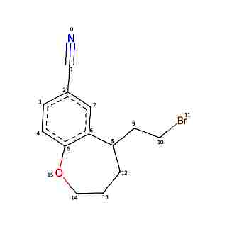 N#Cc1ccc2c(c1)C(CCBr)CCCO2